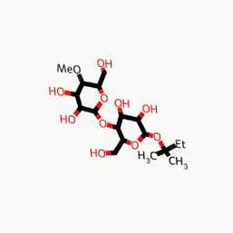 CCC(C)(C)OC1OC(CO)C(OC2OC(CO)C(OC)C(O)C2O)C(O)C1O